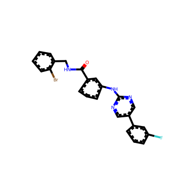 O=C(NCc1ccccc1Br)c1cccc(Nc2ncc(-c3cccc(F)c3)cn2)c1